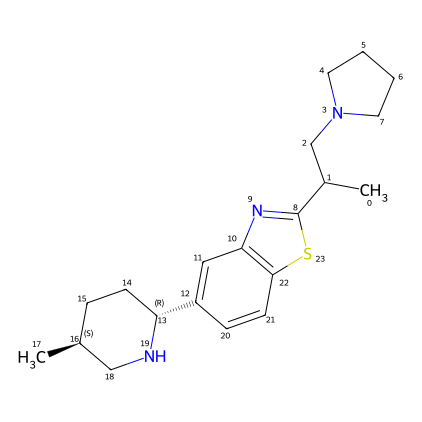 CC(CN1CCCC1)c1nc2cc([C@H]3CC[C@H](C)CN3)ccc2s1